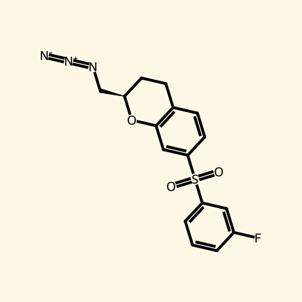 [N-]=[N+]=NC[C@H]1CCc2ccc(S(=O)(=O)c3cccc(F)c3)cc2O1